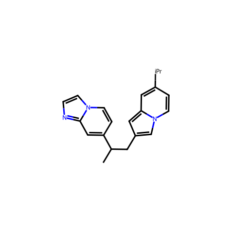 CC(C)c1ccn2cc(CC(C)c3ccn4ccnc4c3)cc2c1